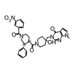 Cn1ccc2c(=O)n(CC3(O)CCN(C(=O)[C@@H]4CCN(C(=O)c5cccc([N+](=O)[O-])c5)C[C@H]4c4ccccc4)CC3)cnc21